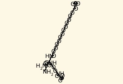 NCCCCC(CC(=O)C(CCCCNC(=O)CCOCCOCCOCCOCCOCCOCCOCCOCCOCCOCCOCCOCCCC(=O)CCN1C(=O)C=CC1=O)NC(=O)CCOCCOCCNC(=O)CCN1C(=O)C=CC1=O)C(N)=O